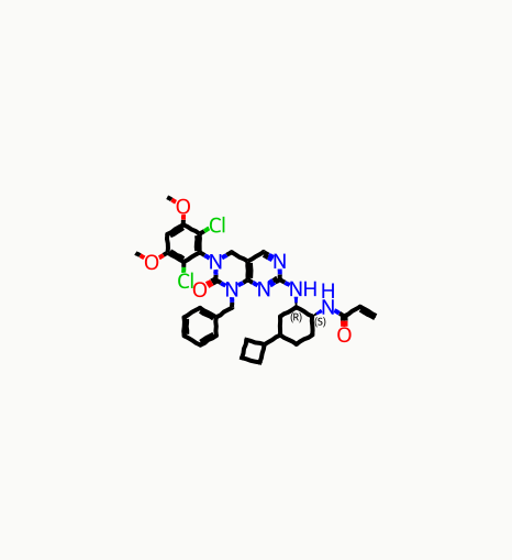 C=CC(=O)N[C@H]1CCC(C2CCC2)C[C@H]1Nc1ncc2c(n1)N(Cc1ccccc1)C(=O)N(c1c(Cl)c(OC)cc(OC)c1Cl)C2